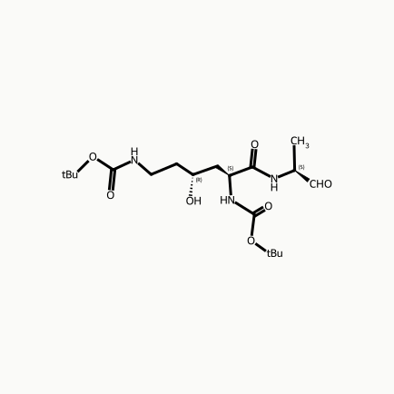 C[C@@H](C=O)NC(=O)[C@H](C[C@H](O)CCNC(=O)OC(C)(C)C)NC(=O)OC(C)(C)C